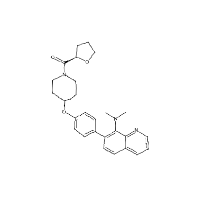 CN(C)c1c(-c2ccc(OC3CCN(C(=O)[C@H]4CCCO4)CC3)cc2)ccc2cccnc12